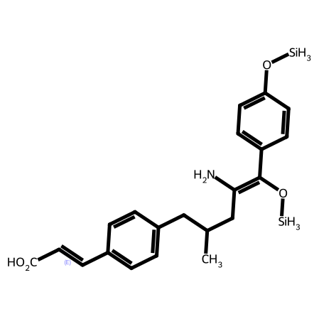 CC(CC(N)=C(O[SiH3])c1ccc(O[SiH3])cc1)Cc1ccc(/C=C/C(=O)O)cc1